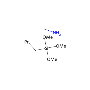 CN.CO[Si](CC(C)C)(OC)OC